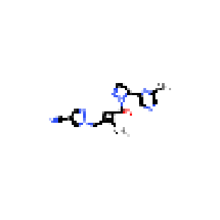 CC1=C(Cn2cc(C#N)cn2)CC1C(=O)N1N=CCC1c1cncc(C)n1